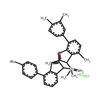 CC1=Cc2c(-c3ccc(C)c(C)c3)ccc(C)c2[CH]1[Zr]([CH3])([CH3])(=[SiH2])[CH]1C(C(C)C)=Cc2c(-c3ccc(C(C)(C)C)cc3)cccc21.Cl.Cl